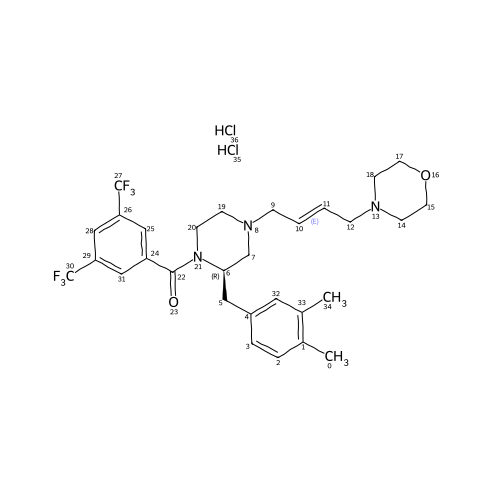 Cc1ccc(C[C@@H]2CN(C/C=C/CN3CCOCC3)CCN2C(=O)c2cc(C(F)(F)F)cc(C(F)(F)F)c2)cc1C.Cl.Cl